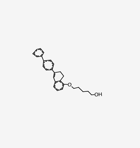 OCCCCCOc1cccc2c1CCC(c1ccc(-c3ccccc3)cc1)=C2